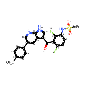 CCCS(=O)(=O)Nc1ccc(F)c(C(=O)c2c[nH]c3ncc(-c4ccc(C=O)cc4)cc23)c1F